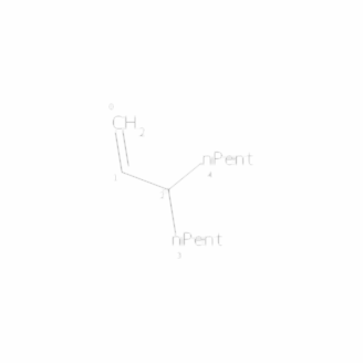 C=CC(CCCCC)CCCCC